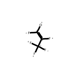 [O]C(F)=C(F)C(F)(F)F